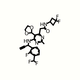 C#CC(Nc1nc(C)nc(CC(=O)NC2CC(F)(F)C2)c1C1OCCO1)c1cccc(C(F)F)c1F